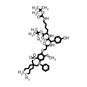 CCCCC1(CCCC)CN(c2ccccc2)c2cc(SC)c(OCC(=O)N[C@@H](C(=O)NC(CCCCNC(=O)OC(C)(C)C)C(=O)OC(C)(C)C)c3ccc(O)cc3)cc2S(=O)(=O)C1